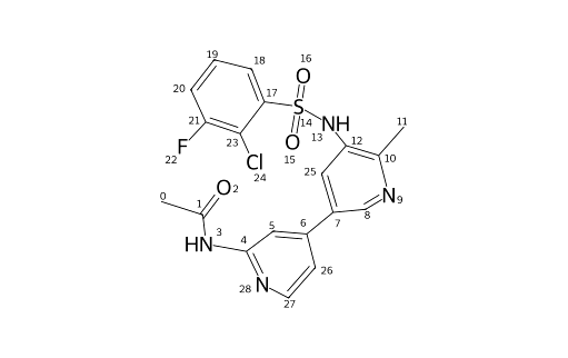 CC(=O)Nc1cc(-c2cnc(C)c(NS(=O)(=O)c3cccc(F)c3Cl)c2)ccn1